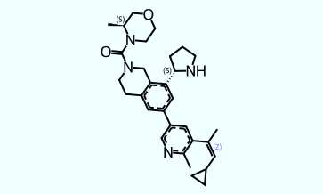 C/C(=C/C1CC1)c1cc(-c2cc3c(c([C@@H]4CCCN4)c2)CN(C(=O)N2CCOC[C@@H]2C)CC3)cnc1C